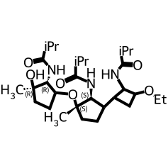 CCOC1CC(C2CC[C@](C)(OC3CC[C@@](C)(O)[C@@H]3NC(=O)C(C)C)[C@H]2NC(=O)C(C)C)C1NC(=O)C(C)C